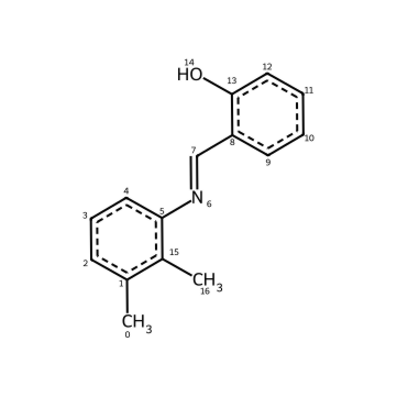 Cc1cccc(N=Cc2ccccc2O)c1C